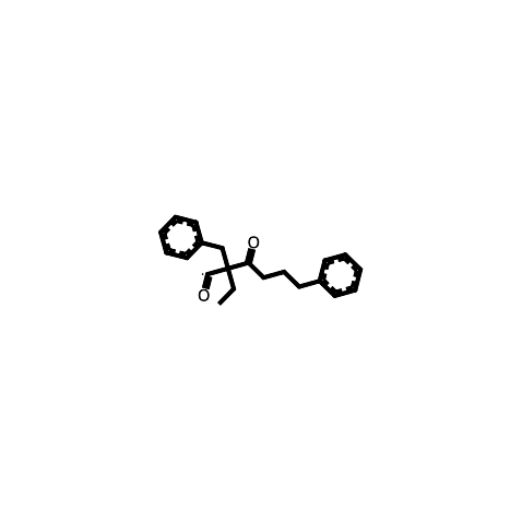 CCC([C]=O)(Cc1ccccc1)C(=O)CCCc1ccccc1